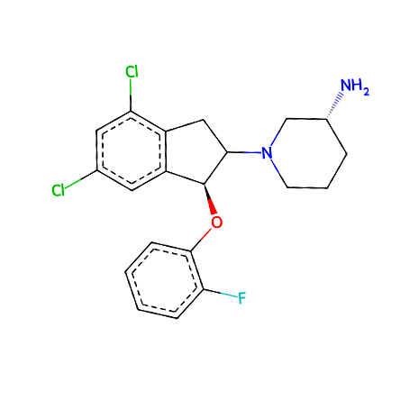 N[C@@H]1CCCN(C2Cc3c(Cl)cc(Cl)cc3[C@@H]2Oc2ccccc2F)C1